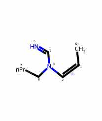 C/C=C\N(C=N)CCCC